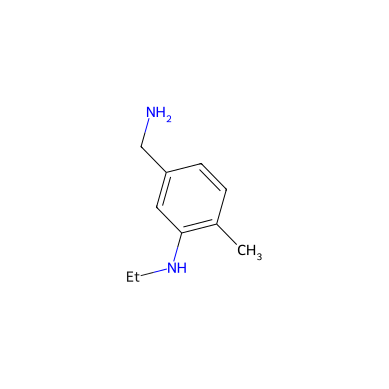 CCNc1cc(CN)ccc1C